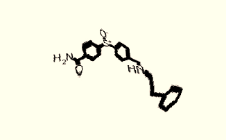 NC(=O)c1ccc([S+]([O-])c2ccc(CNCCc3ccccc3)cc2)cc1